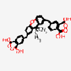 CC1(C)c2cc(Cc3ccc(C(=O)O)c(C(=O)O)c3)ccc2Oc2ccc(Cc3ccc(C(=O)O)c(C(=O)O)c3)cc21